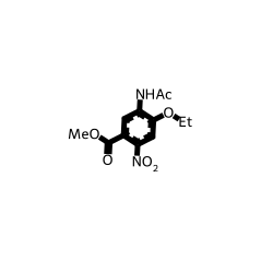 CCOc1cc([N+](=O)[O-])c(C(=O)OC)cc1NC(C)=O